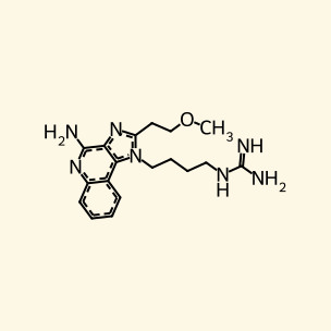 COCCc1nc2c(N)nc3ccccc3c2n1CCCCNC(=N)N